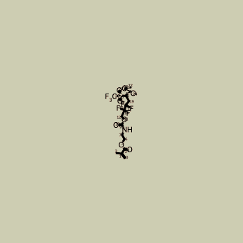 C=C(C)C(=O)OCCNC(=O)OCC(F)(F)C(F)(F)CC(S(C)(=O)=O)S(=O)(=O)C(F)(F)F